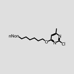 CCCCCCCCCCCCCCCOc1cc(C)nc(Cl)n1